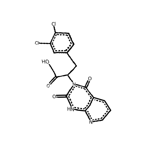 O=C(O)C(Cc1ccc(Cl)c(Cl)c1)n1c(=O)[nH]c2ncccc2c1=O